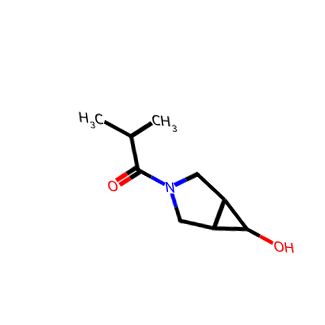 CC(C)C(=O)N1CC2C(O)C2C1